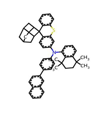 CC1(C)CCC(C)(C)c2c(N(c3ccc(-c4ccc5ccccc5c4)cc3)c3ccc4c(c3)Sc3ccccc3C43C4CC5CC6CC3C64C5)cccc21